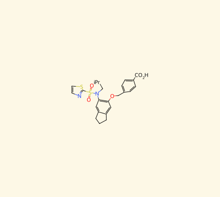 CC(C)CN(c1cc2c(cc1OCc1ccc(C(=O)O)cc1)CCC2)S(=O)(=O)c1nccs1